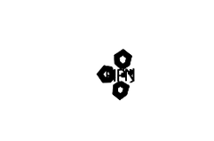 CN(C)[PH](c1ccccc1)(c1ccccc1)c1ccccc1